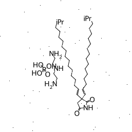 CC(C)CCCCCCCCCCCCCC=CC1(C=CCCCCCCCCCCCCCC(C)C)CC(=O)NC1=O.NCCNCCN.O=P(O)(O)O